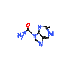 NC(=O)n1cnc2cn[c]nc21